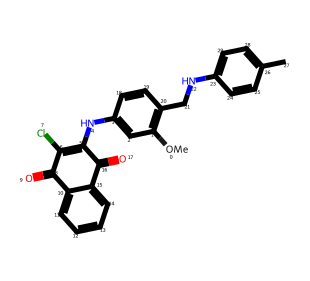 COc1cc(NC2=C(Cl)C(=O)c3ccccc3C2=O)ccc1CNc1ccc(C)cc1